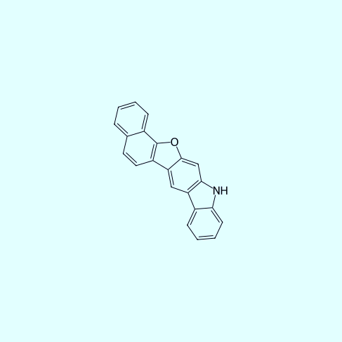 c1ccc2c(c1)ccc1c3cc4c(cc3oc21)[nH]c1ccccc14